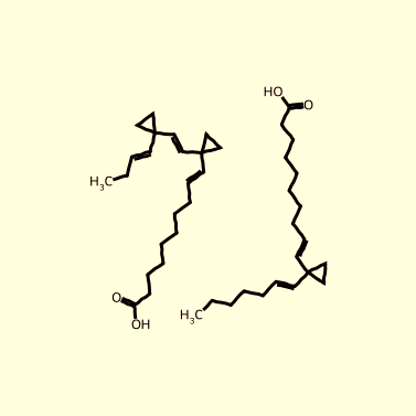 CCC=CC1(C=CC2(C=CCCCCCCCC(=O)O)CC2)CC1.CCCCCC=CC1(C=CCCCCCCCC(=O)O)CC1